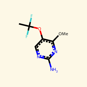 COc1nc(N)ncc1OC(C)(F)F